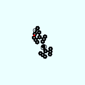 CC1(C)OB(c2cc(-c3c4ccccc4cc4ccccc34)cc(-c3c4ccccc4cc4ccccc34)c2)OC1(C)C.O=P(c1ccccc1)(c1ccccc1)c1cccc(-c2cc(-c3c4ccccc4cc4ccccc34)cc(-c3c4ccccc4cc4ccccc34)c2)c1